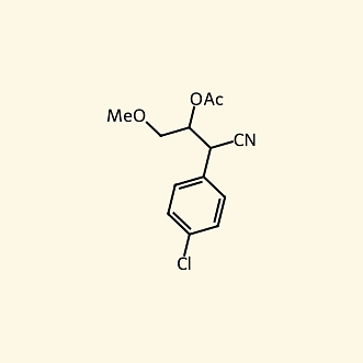 COCC(OC(C)=O)C(C#N)c1ccc(Cl)cc1